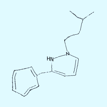 CC(C)CCN1C=CC=C(c2ccccc2)N1